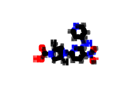 O=C(O)N1C[C@H]2C[C@@H]1CN2c1ccc([N+](=O)[O-])c(Nc2ccncc2)n1